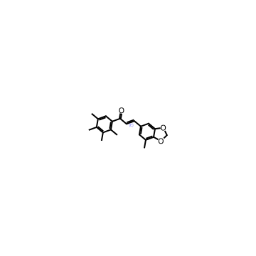 Cc1cc(C(=O)/C=C/c2cc(C)c3c(c2)OCO3)c(C)c(C)c1C